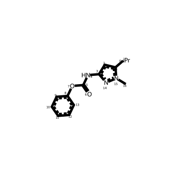 CC(C)c1cc(NC(=O)Oc2ccccc2)nn1C